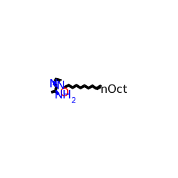 CCCCCCCCC=CCCCCCCCC(=O)N1CCN=C1C(C)N